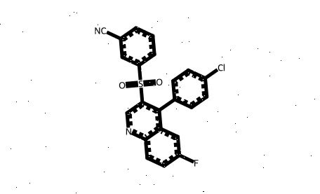 N#Cc1cccc(S(=O)(=O)c2cnc3ccc(F)cc3c2-c2ccc(Cl)cc2)c1